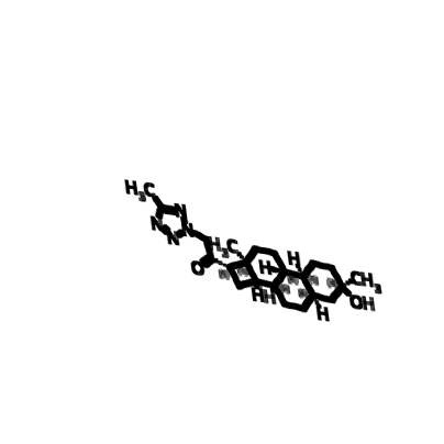 Cc1nnn(CC(=O)[C@H]2C[C@H]3[C@@H]4CC[C@@H]5C[C@](C)(O)CC[C@@H]5[C@H]4CC[C@]23C)n1